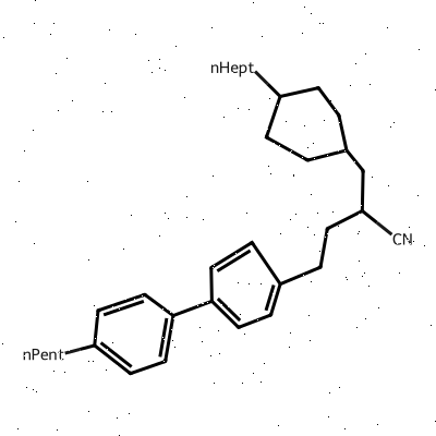 CCCCCCCC1CCC(CC(C#N)CCc2ccc(-c3ccc(CCCCC)cc3)cc2)CC1